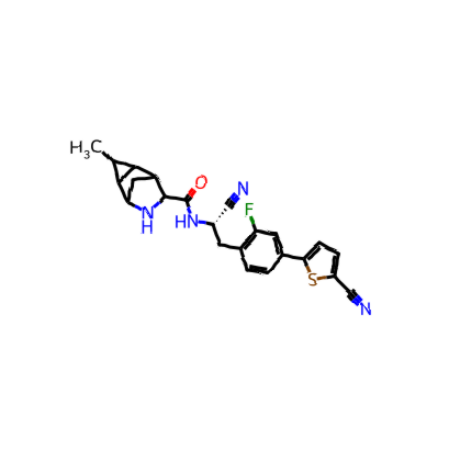 CC1C2C3CC(C(C(=O)N[C@H](C#N)Cc4ccc(-c5ccc(C#N)s5)cc4F)N3)C12